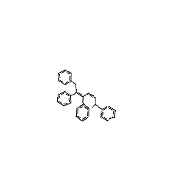 CC(/C=C\C(=C(/Cc1ccccc1)c1ccccc1)c1ccccc1)c1ccccc1